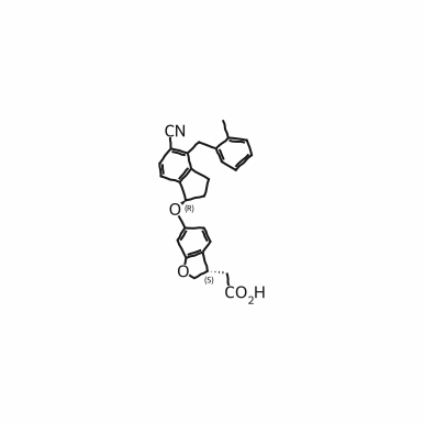 Cc1ccccc1Cc1c(C#N)ccc2c1CC[C@H]2Oc1ccc2c(c1)OC[C@H]2CC(=O)O